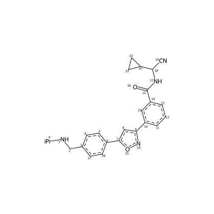 CC(C)NCc1ccc(-c2cc(-c3cccc(C(=O)NC(C#N)C4CC4)c3)no2)cc1